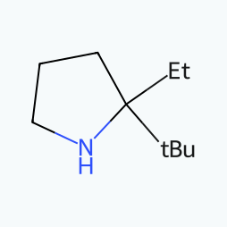 CCC1(C(C)(C)C)CCCN1